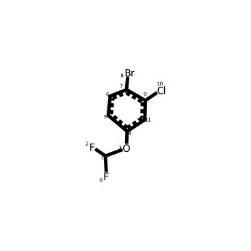 FC(F)Oc1ccc(Br)c(Cl)c1